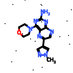 Cn1cc(-c2cnc3nc(N)nc(N4CCOCC4)c3n2)cn1